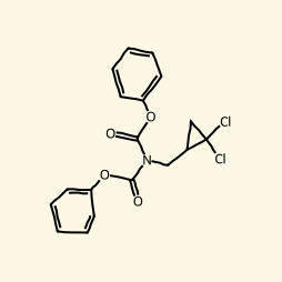 O=C(Oc1ccccc1)N(CC1CC1(Cl)Cl)C(=O)Oc1ccccc1